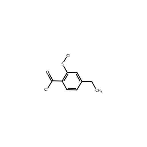 CCc1ccc(C(=O)Cl)c(SCl)c1